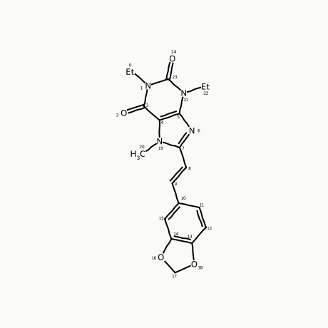 CCn1c(=O)c2c(nc(/C=C/c3ccc4c(c3)OCO4)n2C)n(CC)c1=O